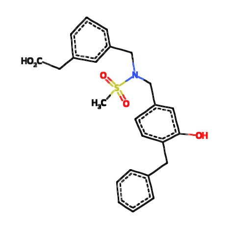 CS(=O)(=O)N(Cc1cccc(CC(=O)O)c1)Cc1ccc(Cc2ccccc2)c(O)c1